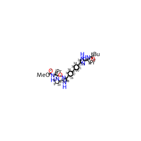 COC(=O)N[C@H](C(=O)N1CCC[C@H]1c1nc(-c2ccc(-c3ccc(-c4c[nH]c([C@@H](NC(=O)C(C)(C)C)C(C)C)n4)cc3)cc2)c[nH]1)C(C)C